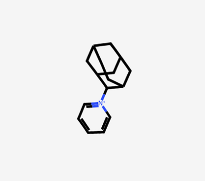 c1cc[n+](C2C3CC4CC(C3)CC2C4)cc1